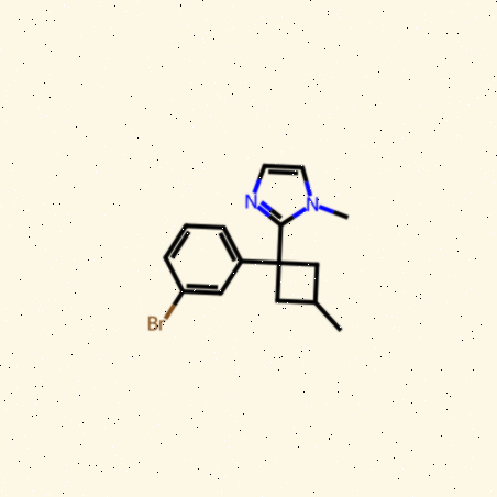 CC1CC(c2cccc(Br)c2)(c2nccn2C)C1